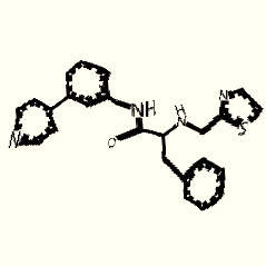 O=C(Nc1cccc(-c2ccncc2)c1)C(Cc1ccccc1)NCc1nccs1